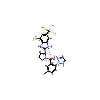 Cc1ccc(-n2nccn2)c(C(=O)N2CCC[C@@]2(C)c2nc3c(Cl)cc(C(F)(F)F)cc3[nH]2)c1